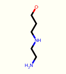 NCCNCCC[O]